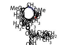 C=C(CBr)C(=O)OC(C)(C)CCCC(C=O)N[C@H](C(=O)N[C@@H](CCCNC(N)=O)C(=O)Nc1ccc(C(=O)N(C)[C@@H](C)C(=O)O[C@H]2CC(O)N(C)c3cc(cc(OC)c3Cl)C/C(C)=C/C=C/[C@@H](OC)[C@@]3(O)C[C@H](OC(=O)N3)[C@@H](C)[C@@H]3O[C@@]23C)c(C(F)(F)F)c1)C(C)C